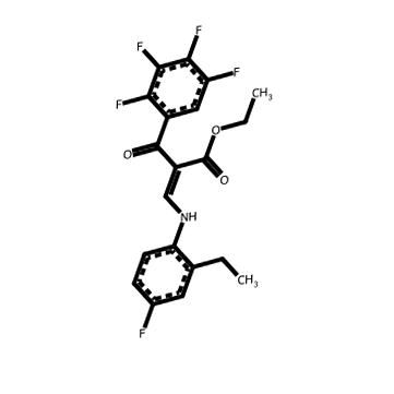 CCOC(=O)/C(=C\Nc1ccc(F)cc1CC)C(=O)c1cc(F)c(F)c(F)c1F